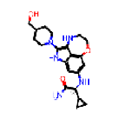 NC(=O)[C@@H](Nc1cc2c3c(c(N4CCC(CO)CC4)[nH]c3c1)NCCO2)C1CC1